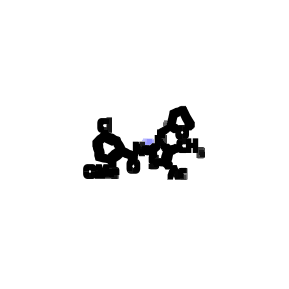 COc1ccc(Cl)cc1C(=O)/N=c1\sc(C(C)=O)c(C)n1C[C@H]1CCCO1